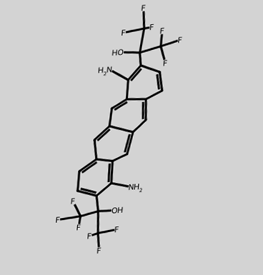 Nc1c(C(O)(C(F)(F)F)C(F)(F)F)ccc2cc3cc4c(N)c(C(O)(C(F)(F)F)C(F)(F)F)ccc4cc3cc12